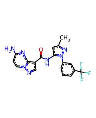 Cc1cc(NC(=O)c2cnn3ccc(N)nc23)n(-c2cccc(C(F)(F)F)c2)n1